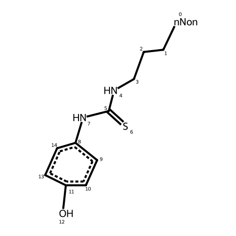 CCCCCCCCCCCCNC(=S)Nc1ccc(O)cc1